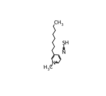 CCCCCCCCc1ccc[n+](C)c1.N#CS